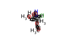 COCc1ccc2c(c1)C1(CCC(Nc3cccc(Cl)c3)(C(=O)OC)CC1)C(C[C@@H](C)COCc1ccc(OC)cc1)=C2